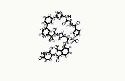 CS(=O)(=O)n1ccc(C(=O)NCC(=O)Nc2nc(-c3cccc(-c4ccnc(C5(C(=O)N6CC(CCOc7cccc8c7C(=O)N(C7CCC(=O)NC7=O)C8=O)C6)CC5)c4)c3)cs2)c1